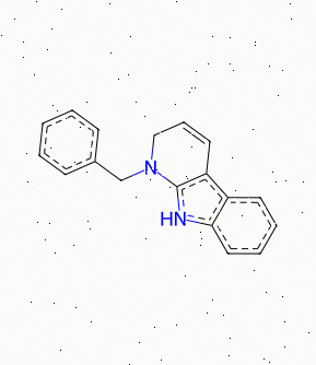 C1=Cc2c([nH]c3ccccc23)N(Cc2ccccc2)C1